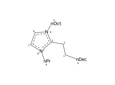 CCCCCCCCCCCCc1n(CCCCCCCC)cc[n+]1CCC